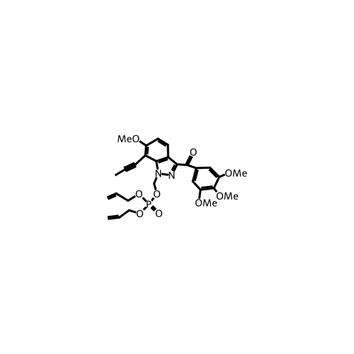 C=CCOP(=O)(OCC=C)OCn1nc(C(=O)c2cc(OC)c(OC)c(OC)c2)c2ccc(OC)c(C#CC)c21